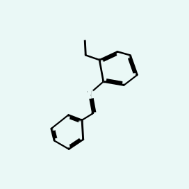 CCc1ccccc1N=Cc1ccccc1